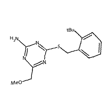 COCc1nc(N)nc(SCc2ccccc2C(C)(C)C)n1